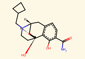 NC(=O)c1ccc2c(c1O)C13CCN(CC4CCC4)[C@H](C2)[C@@H]1CC[C@H](O)C3